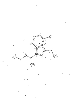 CCOC(C)n1nc(CC)c2c(Cl)ccnc21